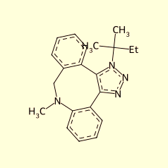 CCC(C)(C)n1nnc2c1-c1ccccc1CN(C)c1ccccc1-2